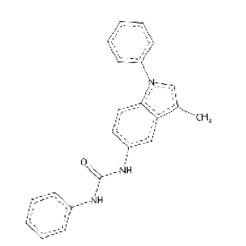 Cc1cn(-c2ccccc2)c2ccc(NC(=O)Nc3ccccc3)cc12